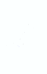 O=C1NC(=O)C(c2ccc(F)s2)O1